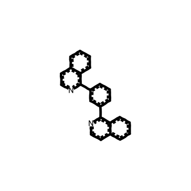 c1cc(-c2nccc3ccccc23)cc(-c2nccc3ccccc23)c1